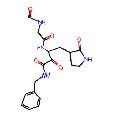 O=CNCC(=O)NC(CC1CCNC1=O)C(=O)C(=O)NCc1ccccc1